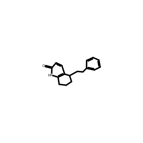 O=c1ccc2c([nH]1)CCCC2CCc1ccccc1